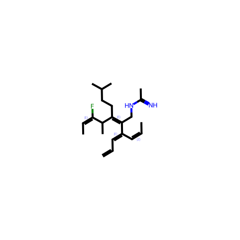 C=C/C=C(\C=C/C)C(/CNC(C)=N)=C(/CCC(C)C)C(C)/C(F)=C\C